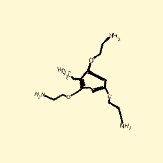 NCCOc1cc(OCCN)c(C(=O)O)c(OCCN)c1